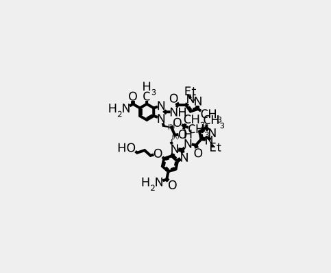 CCn1nc(C)cc1C(=O)NC1=NC2C(=CC=C(C(N)=O)C2C)N1C[C@H]1OC(C)(C)O[C@@H]1Cn1c(NC(=O)c2cc(C)nn2CC)nc2cc(C(N)=O)cc(OCCCO)c21